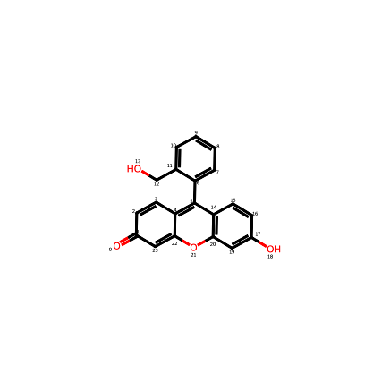 O=c1ccc2c(-c3ccccc3CO)c3ccc(O)cc3oc-2c1